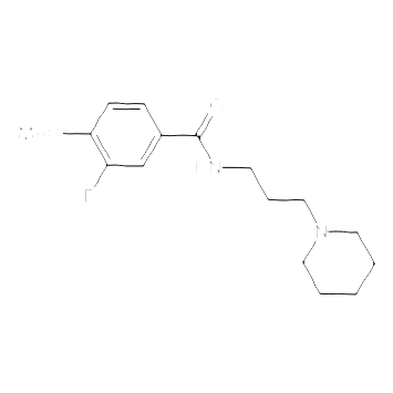 COc1ccc(C(=O)NCCCN2CCCCC2)cc1F